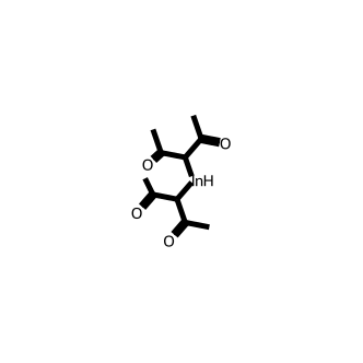 CC(=O)[CH]([InH][CH](C(C)=O)C(C)=O)C(C)=O